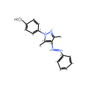 Cc1nn(-c2ccc(S(=O)(=O)O)cc2)c(C)c1/N=N/c1ccccc1